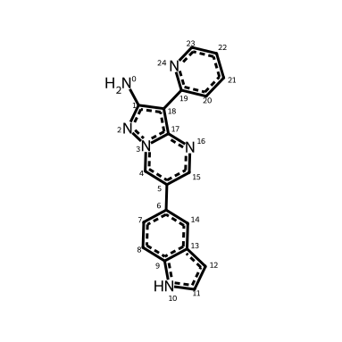 Nc1nn2cc(-c3ccc4[nH]ccc4c3)cnc2c1-c1ccccn1